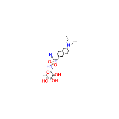 CCCN(CCC)c1ccc2cc(/C=C(\C#N)S(=O)(=O)NC[C@H]3OC(C)[C@H](O)[C@@H](O)[C@@H]3O)ccc2c1